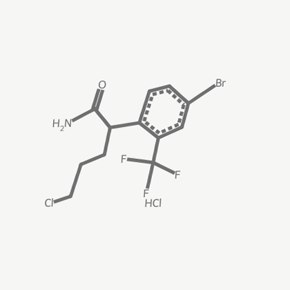 Cl.NC(=O)C(CCCCl)c1ccc(Br)cc1C(F)(F)F